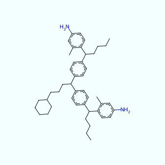 CCCCC(c1ccc(C(CCCC2CCCCC2)c2ccc(C(CCCC)c3ccc(N)cc3C)cc2)cc1)c1ccc(N)cc1C